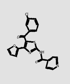 O=C(Nc1nc(-c2ccco2)c(C(=O)c2cccc(Cl)c2)s1)c1ccncc1